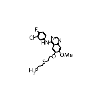 COc1cc2ncnc(Nc3ccc(F)c(Cl)c3)c2cc1OCCSCCP